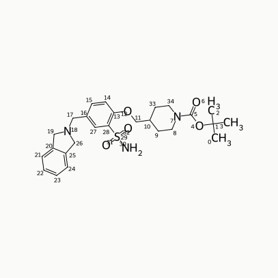 CC(C)(C)OC(=O)N1CCC(COc2ccc(CN3Cc4ccccc4C3)cc2S(N)(=O)=O)CC1